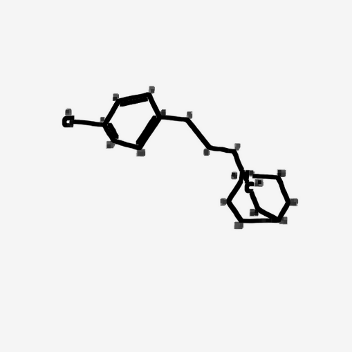 Clc1ccc(CCC[N+]23CCC(CC2)CC3)cc1